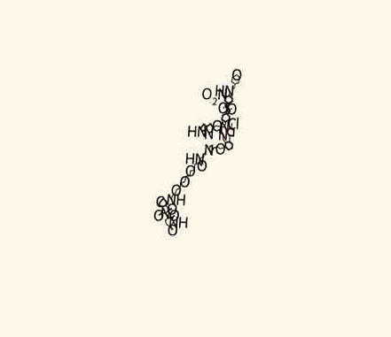 O=C(CCOCCOCCOCCNc1cccc2c1C(=O)N(C1CCC(=O)NC1=O)C2=O)NCCN1CC(COc2cccc(-c3ccc(Cl)cc3)c2CN2CCN(c3ccc(S(=O)(=O)c4ccc(NCC5CCOCC5)c([N+](=O)[O-])c4)cc3)C(Oc3cnc4[nH]ccc4c3)C2)C1